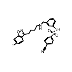 N#Cc1ccc(S(=O)(=O)Nc2cccc(CNCCCCc3noc4cc(F)ccc34)c2)cc1